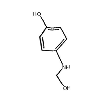 OCNc1ccc(O)cc1